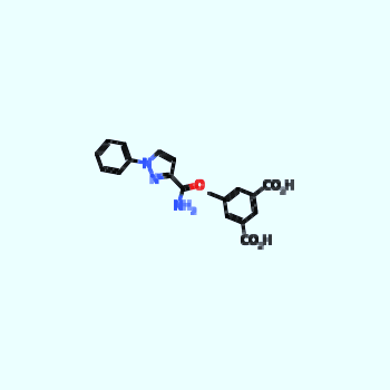 Cc1cc(C(=O)O)cc(C(=O)O)c1.NC(=O)c1ccn(-c2ccccc2)n1